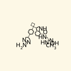 CN/C(CNC(=O)c1cccc2c(C3(c4ccc(-c5cnc(N)nc5)cc4)CCC3)c[nH]c12)=N\O